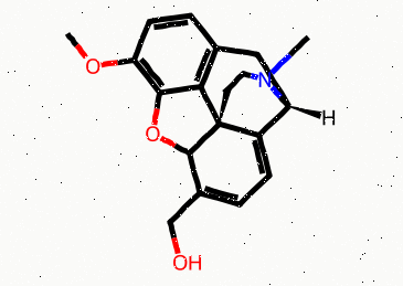 COc1ccc2c3c1OC1C(CO)=CC=C4[C@@H](C2)N(C)CC[C@]431